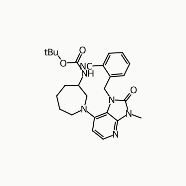 Cn1c(=O)n(Cc2ccccc2C#N)c2c(N3CCCCC(NC(=O)OC(C)(C)C)C3)ccnc21